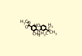 COC(=O)c1ccc(Nc2cc(C(C)(C)C)ccc2O)c(C)c1